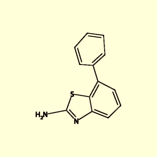 Nc1nc2cccc(-c3ccccc3)c2s1